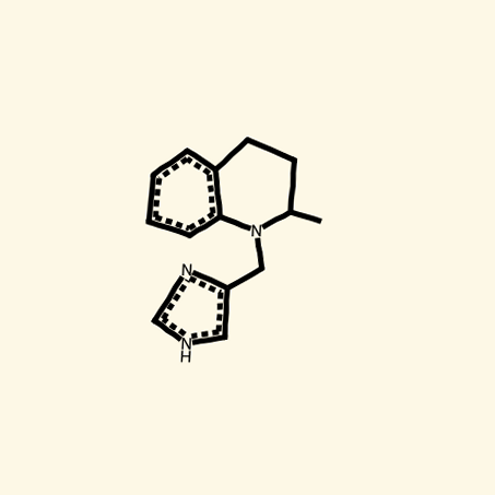 CC1CCc2ccccc2N1Cc1c[nH]cn1